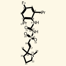 CC(C)c1cc(F)cc(C(C)C)c1NC(=O)NS(=O)(=O)/C=C/C1(C)CCCN1C